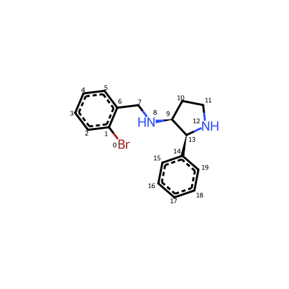 Brc1ccccc1CN[C@H]1CCN[C@H]1c1ccccc1